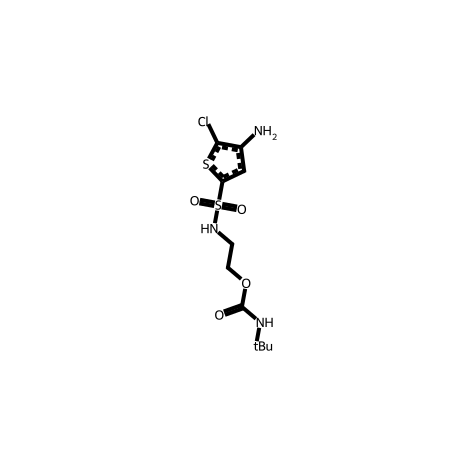 CC(C)(C)NC(=O)OCCNS(=O)(=O)c1cc(N)c(Cl)s1